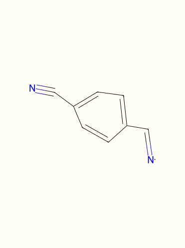 [N]=Cc1ccc(C#N)cc1